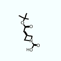 CC(C)(C)OC(=O)C=C1CN(C(=O)O)C1